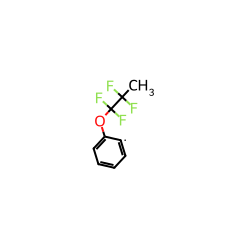 CC(F)(F)C(F)(F)Oc1[c]cccc1